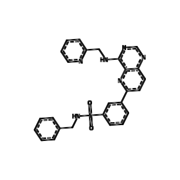 O=S(=O)(NCc1ccccc1)c1cccc(-c2ccc3ncnc(NCc4ccccn4)c3n2)c1